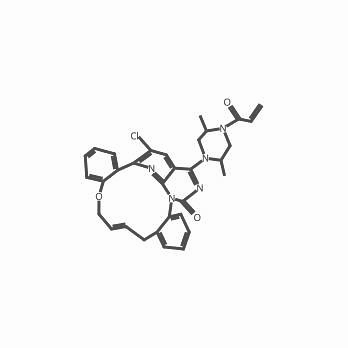 C=CC(=O)N1CC(C)N(c2nc(=O)n3c4nc(c(Cl)cc24)-c2ccccc2OC/C=C/Cc2ccccc2-3)CC1C